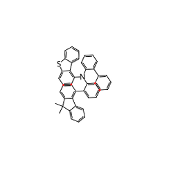 CC1(C)c2ccccc2-c2c(-c3ccccc3N(c3ccccc3-c3ccccc3)c3cccc4sc5ccccc5c34)cccc21